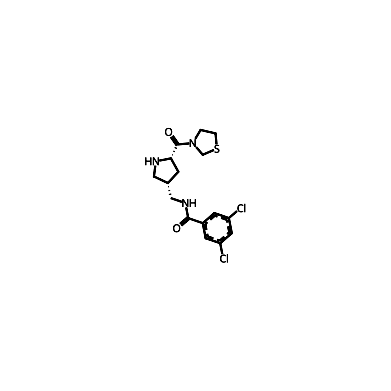 O=C(NC[C@@H]1CN[C@H](C(=O)N2CCSC2)C1)c1cc(Cl)cc(Cl)c1